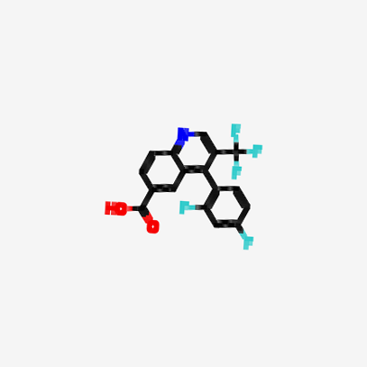 O=C(O)c1ccc2ncc(C(F)(F)F)c(-c3ccc(F)cc3F)c2c1